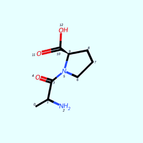 CC(N)C(=O)N1CCC[C@@H]1C(=O)O